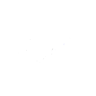 CC(/C=C/[C@H]1C[C@]1(C)c1ccc2c(c1)C(C)(C)CCC2(C)C)=C\C(=O)O